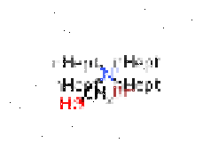 CCCCCCC[N+](CCCCCCC)(CCCCCCC)CCCCCCC.CO.[Br-]